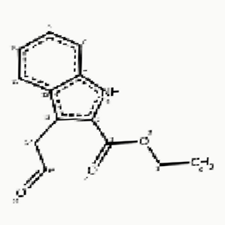 CCOC(=O)c1[nH]c2ccccc2c1CC=O